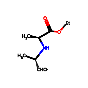 CCOC(=O)[C@H](C)N[C@@H](C)[C]=O